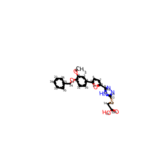 COc1cc(-c2ccc(-c3nnc(SCC(=O)O)[nH]3)o2)ccc1OCc1ccccc1